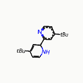 CC(C)(C)C1=CC(c2cc(C(C)(C)C)ccn2)NC=C1